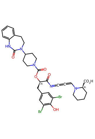 O=C(O)[C@H]1CCCCN1C=C=C=NC(=O)[C@@H](Cc1cc(Br)c(O)c(Br)c1)OC(=O)N1CCC(N2CCc3ccccc3NC2=O)CC1